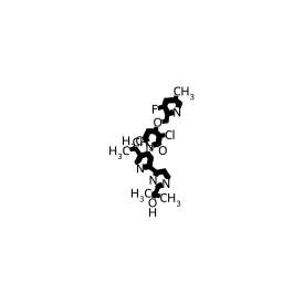 Cc1cnc(COc2cc(C)n(-c3cc(-c4ccnc(C(C)(C)O)n4)ncc3C(C)C)c(=O)c2Cl)c(F)c1